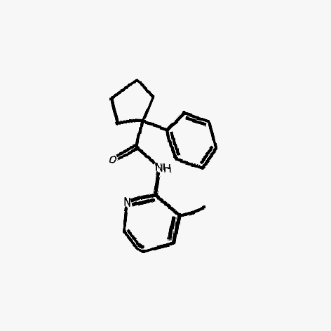 Cc1cccnc1NC(=O)C1(c2ccccc2)CCCC1